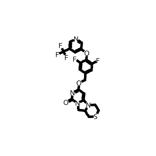 O=c1nc(OCc2cc(F)c(Oc3cncc(C(F)(F)F)c3)c(F)c2)cc2n1CC1CSCCN21